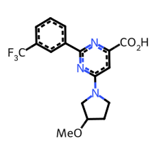 COC1CCN(c2cc(C(=O)O)nc(-c3cccc(C(F)(F)F)c3)n2)C1